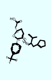 CC(C)C(CC1CCCC1)N[C@@H]1CC[C@@H](CC(=O)O)O[C@H]1c1ccc(C(F)(F)F)cc1